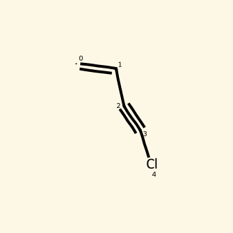 [CH]=CC#CCl